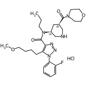 CCCN(C(=O)c1nnn(-c2ccccc2F)c1CCCCOC)[C@@H]1CNC[C@H](C(=O)N2CCOCC2)C1.Cl